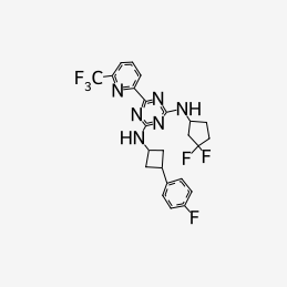 Fc1ccc(C2CC(Nc3nc(NC4CCC(F)(F)C4)nc(-c4cccc(C(F)(F)F)n4)n3)C2)cc1